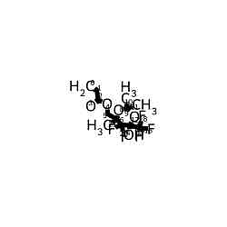 C=CC(=O)OCC1(C)OC(C)(C)OC(O)(C(F)(F)F)C1(F)F